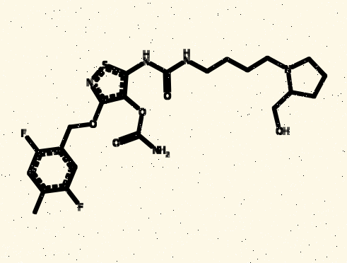 Cc1cc(F)c(COc2nsc(NC(=O)NCCCCN3CCCC3CO)c2OC(N)=O)cc1F